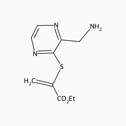 C=C(Sc1nccnc1CN)C(=O)OCC